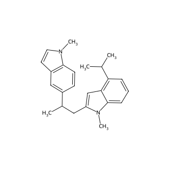 CC(C)c1cccc2c1cc(CC(C)c1ccc3c(ccn3C)c1)n2C